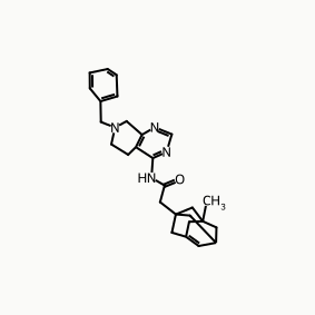 CC12CC3=CC(C1)CC(CC(=O)Nc1ncnc4c1CCN(Cc1ccccc1)C4)(C3)C2